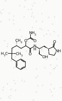 C[C@H](CC(OC(N)=O)C(=O)N[C@H](CO)C[C@@H]1CCNC1=O)CC(C)(C)Cc1ccccc1